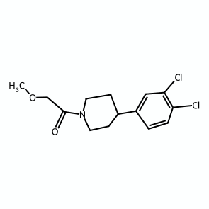 COCC(=O)N1CCC(c2ccc(Cl)c(Cl)c2)CC1